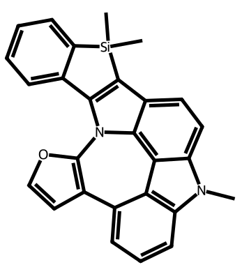 Cn1c2cccc3c4ccoc4n4c5c(c6ccc1c(c32)c64)[Si](C)(C)c1ccccc1-5